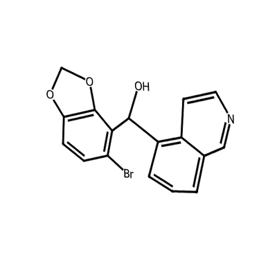 OC(c1c(Br)ccc2c1OCO2)c1cccc2cnccc12